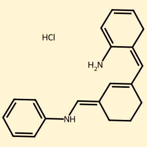 Cl.NC1=CC=CCC1=CC1=CC(=CNc2ccccc2)CCC1